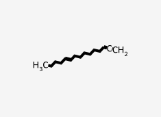 C=C=CCCCCCCC=CCCCC